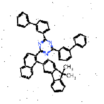 CC1(C)c2ccccc2-c2cc(-c3c(-c4nc(-c5cccc(-c6ccccc6)c5)nc(-c5cccc(-c6ccccc6)c5)n4)ccc4ccccc34)ccc21